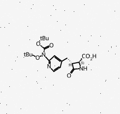 CC(C)(C)OC(=O)N(OC(C)(C)C)c1cc(C[C@H]2C(=O)N[C@@H]2C(=O)O)ccn1